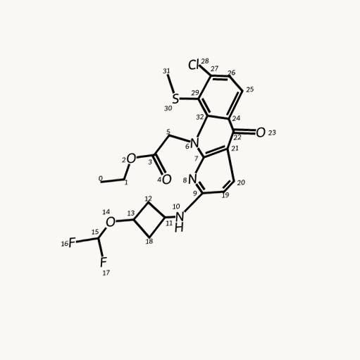 CCOC(=O)Cn1c2nc(NC3CC(OC(F)F)C3)ccc2c(=O)c2ccc(Cl)c(SC)c21